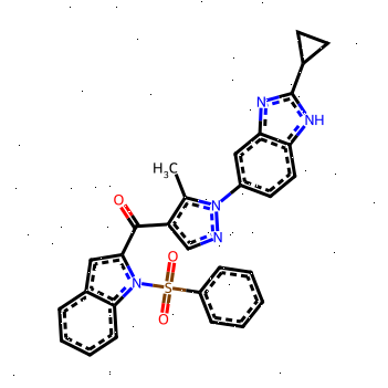 Cc1c(C(=O)c2cc3ccccc3n2S(=O)(=O)c2ccccc2)cnn1-c1ccc2[nH]c(C3CC3)nc2c1